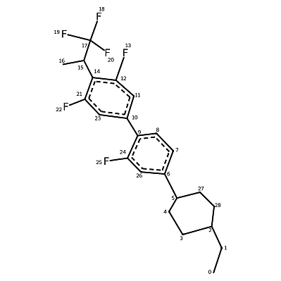 CCC1CCC(c2ccc(-c3cc(F)c(C(C)C(F)(F)F)c(F)c3)c(F)c2)CC1